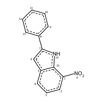 O=[N+]([O-])c1cccc2cc(-c3ccccc3)[nH]c12